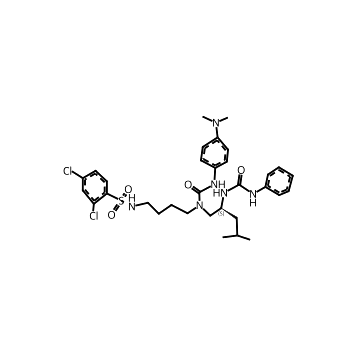 CC(C)C[C@@H](CN(CCCCNS(=O)(=O)c1ccc(Cl)cc1Cl)C(=O)Nc1ccc(N(C)C)cc1)NC(=O)Nc1ccccc1